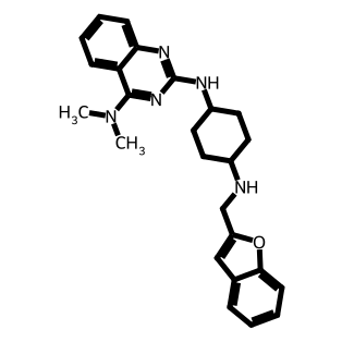 CN(C)c1nc(NC2CCC(NCc3cc4ccccc4o3)CC2)nc2ccccc12